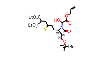 C=CCOC(=O)C(O)N1C(=O)[C@H]([C@@H](C)O[Si](C)(C)C(C)(C)C)[C@@H]1CCC(=S)CC(C(=O)OCC)C(=O)OCC